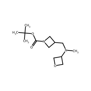 CN(CC1CN(C(=O)OC(C)(C)C)C1)C1COC1